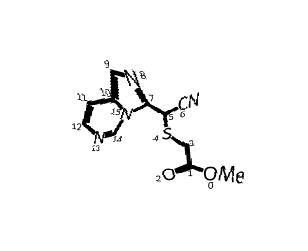 COC(=O)CSC(C#N)c1ncc2ccncn12